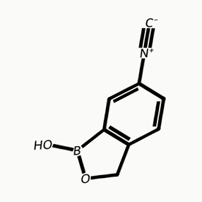 [C-]#[N+]c1ccc2c(c1)B(O)OC2